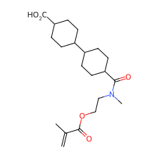 C=C(C)C(=O)OCCN(C)C(=O)C1CCC(C2CCC(C(=O)O)CC2)CC1